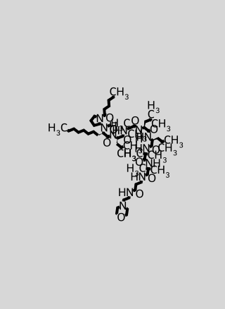 CCCCCCCC[C@@H](C(=O)N[C@@H](CC(C)C)C(=O)NC(C)(C)C(=O)N[C@@H](CC(C)C)C(=O)N[C@@H](CC(C)C)C(=O)NC(C)(C)C(=O)NC(C)(C)C(=O)NCCC(=O)NCCN1CCOCC1)N(C=O)[C@@H]1CCCN1C(=O)CCCCC